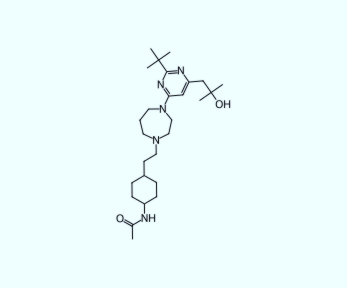 CC(=O)NC1CCC(CCN2CCCN(c3cc(CC(C)(C)O)nc(C(C)(C)C)n3)CC2)CC1